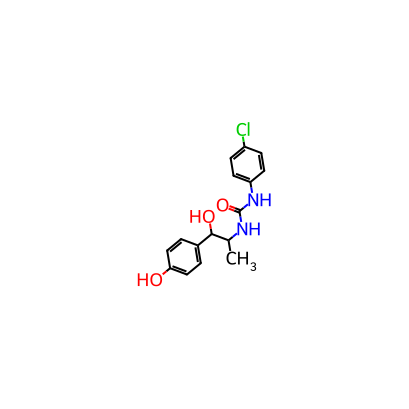 CC(NC(=O)Nc1ccc(Cl)cc1)C(O)c1ccc(O)cc1